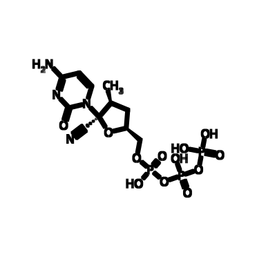 C[C@H]1C[C@@H](COP(=O)(O)OP(=O)(O)OP(=O)(O)O)O[C@@]1(C#N)n1ccc(N)nc1=O